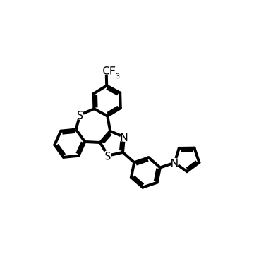 FC(F)(F)c1ccc2c(c1)Sc1ccccc1-c1sc(-c3cccc(-n4cccc4)c3)nc1-2